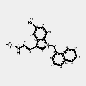 CN/N=C/c1cn(Cc2cccc3ccccc23)c2ccc(Br)cc12